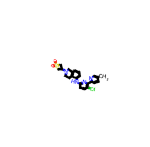 Cc1ccc(-c2nc(Nc3cccc4c3CCN(C3CS(=O)(=O)C3)C4)ccc2Cl)nc1